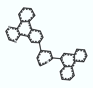 c1cc(-c2ccc3c4ccccc4c4nccnc4c3c2)cc(-c2cc3ccccc3c3ccccc23)c1